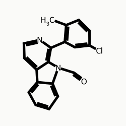 Cc1ccc(Cl)cc1-c1nccc2c3ccccc3n(C=O)c12